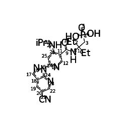 CCC(CC)(CP(=O)(O)O)NC(=O)c1cnc(-n2ncc3cc(C#N)cnc32)cc1NC(C)C